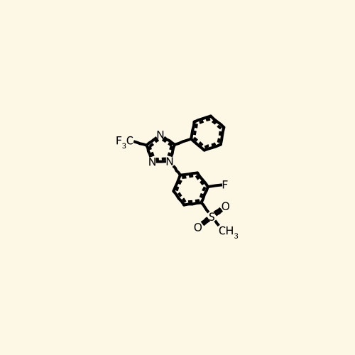 CS(=O)(=O)c1ccc(-n2nc(C(F)(F)F)nc2-c2ccccc2)cc1F